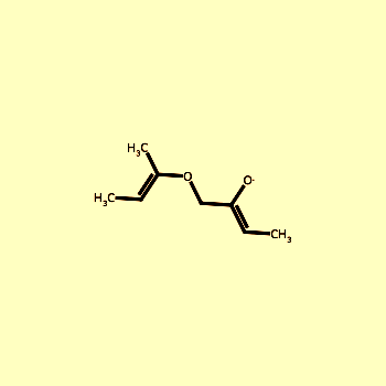 CC=C([O])COC(C)=CC